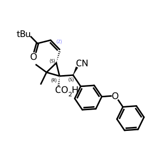 CC(C)(C)C(=O)/C=C\[C@H]1C(C)(C)[C@]1(C(=O)O)[C@@H](C#N)c1cccc(Oc2ccccc2)c1